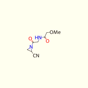 COCC(=O)NCC(=O)N1CC1C#N